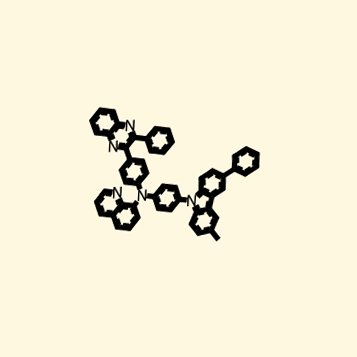 Cc1ccc2c(c1)c1cc(-c3ccccc3)ccc1n2-c1ccc(N(c2ccc(-c3nc4ccccc4nc3-c3ccccc3)cc2)c2cccc3cccnc23)cc1